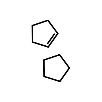 C1=CCCC1.C1CCCC1